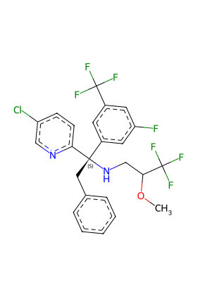 COC(CN[C@@](Cc1ccccc1)(c1cc(F)cc(C(F)(F)F)c1)c1ccc(Cl)cn1)C(F)(F)F